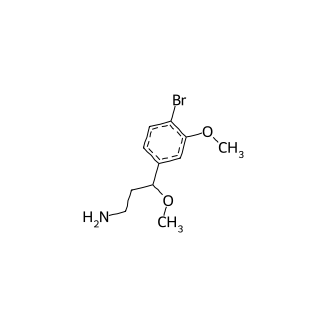 COc1cc(C(CCN)OC)ccc1Br